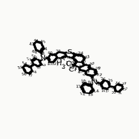 CC1(C)c2cc3cc(N(c4ccccc4)c4ccc(-c5ccccc5)cc4)ccc3cc2-c2ccc3sc4cc5cc(N(c6ccccc6)c6ccc(-c7ccccc7)cc6)ccc5cc4c3c21